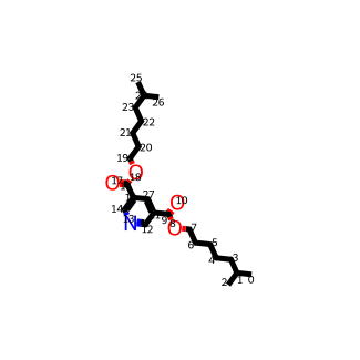 CC(C)CCCCCOC(=O)c1cncc(C(=O)OCCCCCC(C)C)c1